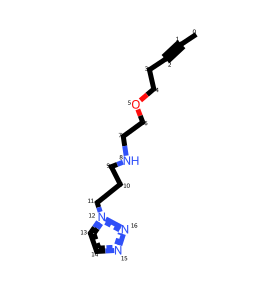 CC#CCCOCCNCCCn1ccnn1